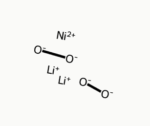 [Li+].[Li+].[Ni+2].[O-][O-].[O-][O-]